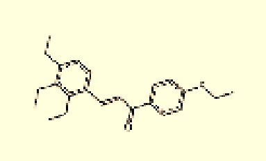 CCSc1ccc(C(=O)C=Cc2ccc(CC)c(CC)c2CC)cc1